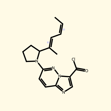 C/C=C\C=C(/C)C1CCCN1c1ccc2ncc(C(=O)Cl)n2n1